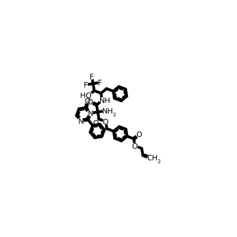 C=CCOC(=O)c1ccc(COC(=O)C(N)(C(=O)NC(Cc2ccccc2)C(O)C(F)(F)F)n2c(-c3ccccc3)nccc2=O)cc1